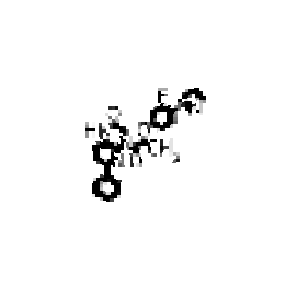 CC(Oc1ccc(-n2cccn2)c(F)c1)C(=O)N1CC(=O)Nc2ccc(-c3ccccc3)nc21